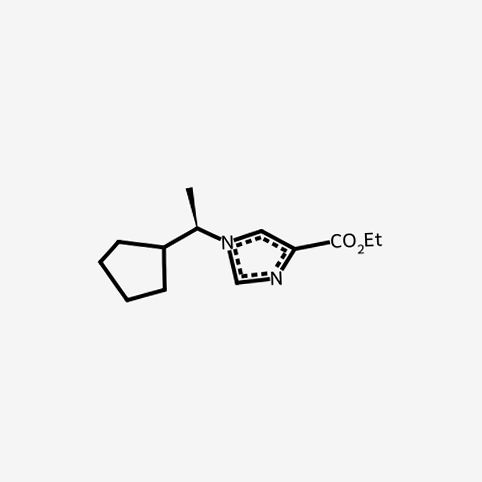 CCOC(=O)c1cn([C@H](C)C2CCCC2)cn1